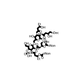 CCCCCCCCCCC[C@@H](O)CC(=O)NC1C(C)OC(CO[C@@H]2OC(CO)[C@@H](OP(=O)(O)O)[C@H](OC(=O)C[C@@H](CC)OC(=O)CCCCCCCCC)C2NC(=O)C[C@@H](CCCCCCCCCCC)OC(=O)CCCCCCCCC)[C@@H](O)[C@@H]1CC(=O)C[C@H](O)CC